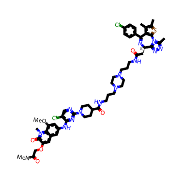 CNC(=O)COc1cc2cc(Nc3nc(N4CCC(C(=O)NCCCN5CCN(CCCNC(=O)C[C@@H]6N=C(c7ccc(Cl)cc7)c7c(sc(C)c7C)-n7c(C)nnc76)CC5)CC4)ncc3Cl)cc(OC)c2n(C)c1=O